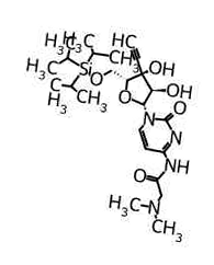 C#C[C@@]1(O)[C@@H](CO[Si](C(C)C)(C(C)C)C(C)C)O[C@@H](n2ccc(NC(=O)CN(C)C)nc2=O)[C@@H]1O